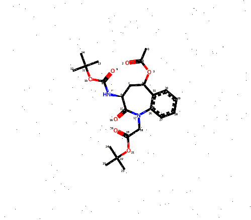 CC(=O)OC1C[C@H](NC(=O)OC(C)(C)C)C(=O)N(CC(=O)OC(C)(C)C)c2ccccc21